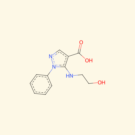 O=C(O)c1cnn(-c2ccccc2)c1NCCO